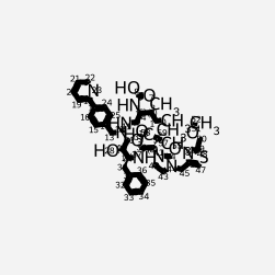 CC[C@H](C)[C@H](NC(=O)O)C(=O)NN(Cc1ccc(-c2ccccn2)cc1)C[C@H](O)[C@H](Cc1ccccc1)NC(=O)[C@@H](N1CCN(Cc2csc(COC)n2)C1=O)C(C)(C)C